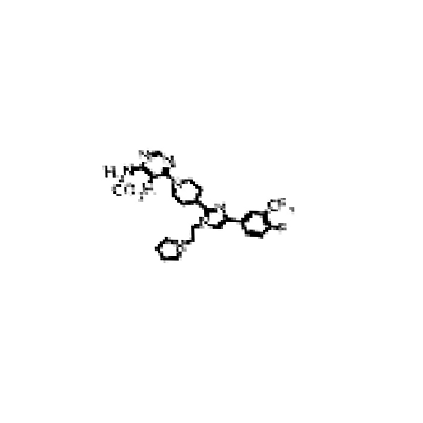 Nc1ncnc(N2CCC(c3nc(-c4ccc(F)c(C(F)(F)F)c4)cn3CCN3CCCC3)CC2)c1C(=O)O